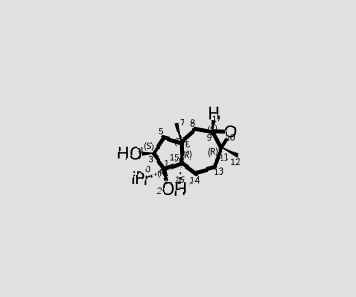 CC(C)[C@]1(O)[C@@H](O)C[C@]2(C)C[C@@H]3O[C@]3(C)CC[C@]21C